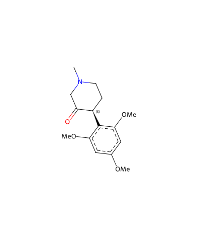 COc1cc(OC)c([C@@H]2CCN(C)CC2=O)c(OC)c1